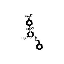 CC1CN(S(=O)(=O)c2ccc([N+](=O)[O-])cc2)C[C@H](COCc2ccccc2)O1